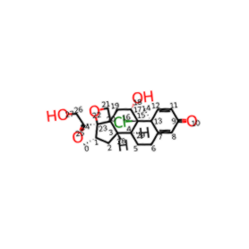 C[C@H]1C[C@H]2[C@@H]3CCC4=CC(=O)C=C[C@]4(C)[C@@]3(Cl)[C@@H](O)C[C@@]23CO[C@]13C(=O)CO